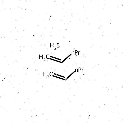 C=CCCC.C=CCCC.S